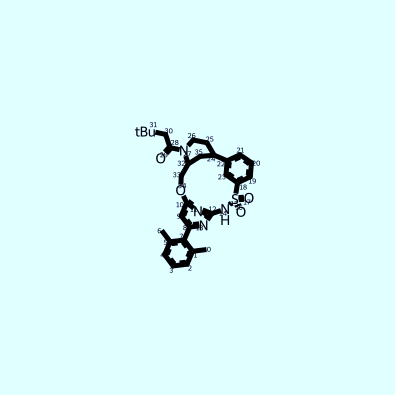 Cc1cccc(C)c1-c1cc2nc(n1)NS(=O)(=O)c1cccc(c1)C1CCN(C(=O)CC(C)(C)C)C(CO2)C1